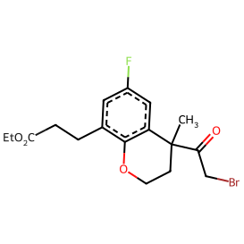 CCOC(=O)CCc1cc(F)cc2c1OCCC2(C)C(=O)CBr